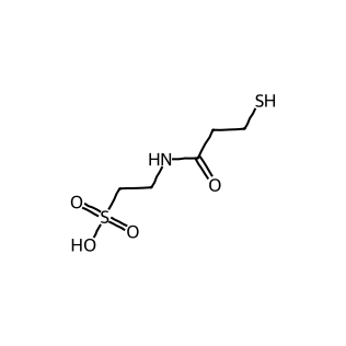 O=C(CCS)NCCS(=O)(=O)O